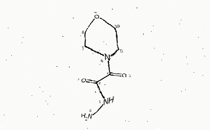 NNC(=O)C(=O)N1CCOCC1